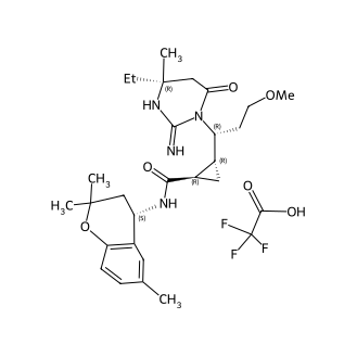 CC[C@]1(C)CC(=O)N([C@H](CCOC)[C@@H]2C[C@H]2C(=O)N[C@H]2CC(C)(C)Oc3ccc(C)cc32)C(=N)N1.O=C(O)C(F)(F)F